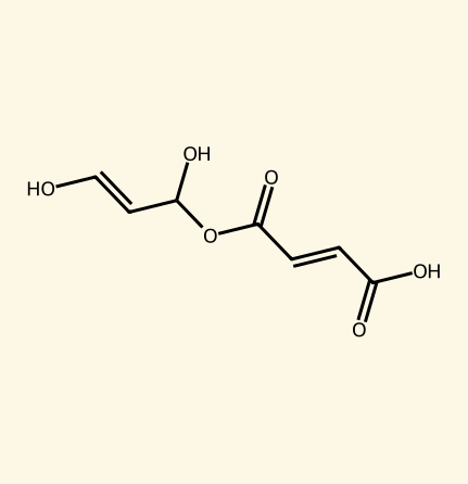 O=C(O)C=CC(=O)OC(O)C=CO